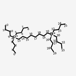 CCCC[P+](CCCC)(CCCC)CCCCCCCC[P+](CCCC)(CCCC)CCCC